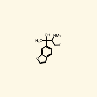 CNC(CF)C(C)(O)c1ccc2ccoc2c1